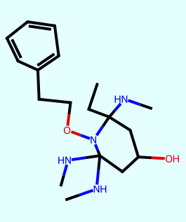 CCC1(NC)CC(O)CC(NC)(NC)N1OCCc1ccccc1